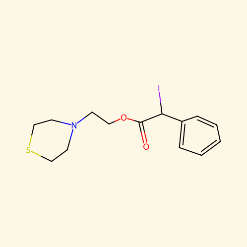 O=C(OCCN1CCSCC1)C(I)c1ccccc1